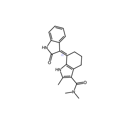 Cc1[nH]c2c(c1C(=O)N(C)C)CCC/C2=C1/C(=O)Nc2ccccc21